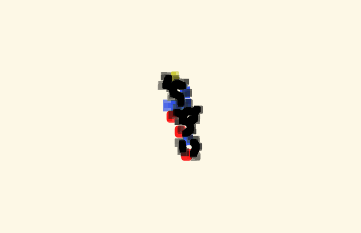 Cc1cc(CC(=O)N2CCCOCC2)cc2c(=O)[nH]c(-c3cc4ccsc4cn3)nc12